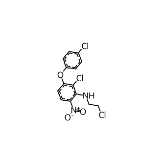 O=[N+]([O-])c1ccc(Oc2ccc(Cl)cc2)c(Cl)c1NCCCl